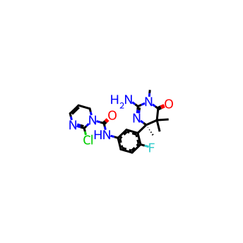 CN1C(=O)C(C)(C)[C@@](C)(c2cc(NC(=O)N3CC=CN=C3Cl)ccc2F)N=C1N